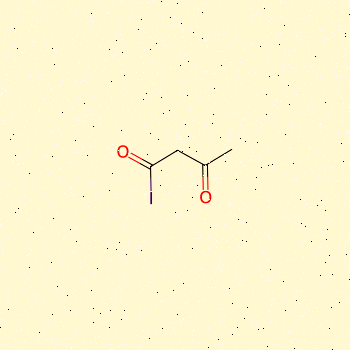 CC(=O)CC(=O)I